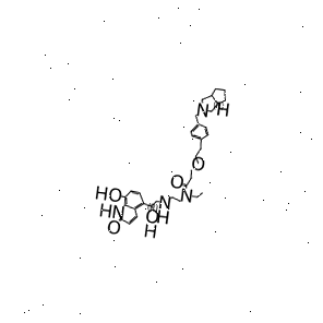 CCN(CCNC[C@H](O)c1ccc(O)c2[nH]c(=O)ccc12)C(=O)CCOCCc1ccc(CN2CC3CCC[C@H]3C2)cc1